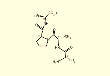 CCC[C@H](NC(=O)[C@@H]1CCCN1C(=O)[C@H](C)NC(=O)[C@H](C)N)C(=O)O